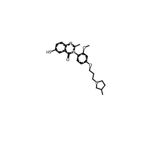 COc1cc(OCCCN2CCC(C)C2)ccc1-n1c(C)nc2ccc(S)cc2c1=O